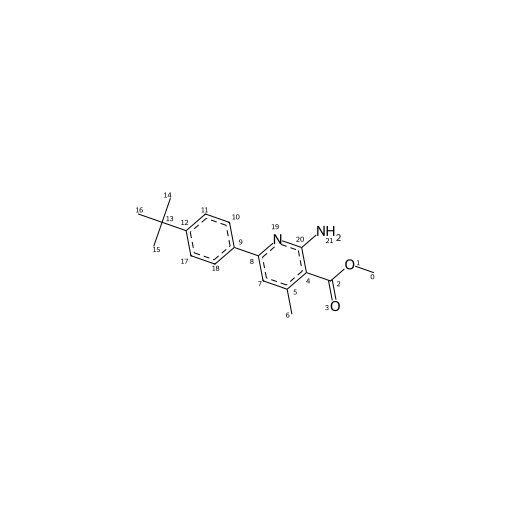 COC(=O)c1c(C)cc(-c2ccc(C(C)(C)C)cc2)nc1N